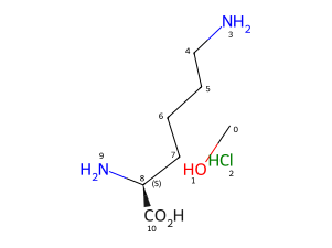 CO.Cl.NCCCC[C@H](N)C(=O)O